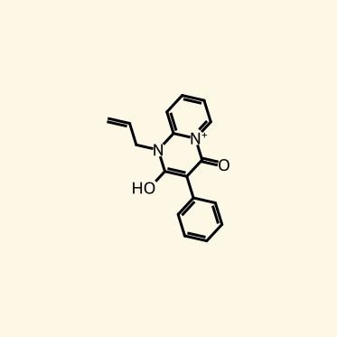 C=CCn1c(O)c(-c2ccccc2)c(=O)[n+]2ccccc12